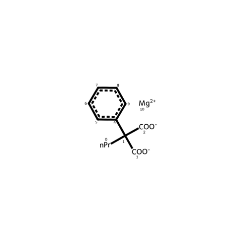 CCCC(C(=O)[O-])(C(=O)[O-])c1ccccc1.[Mg+2]